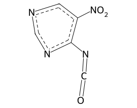 O=C=Nc1ncncc1[N+](=O)[O-]